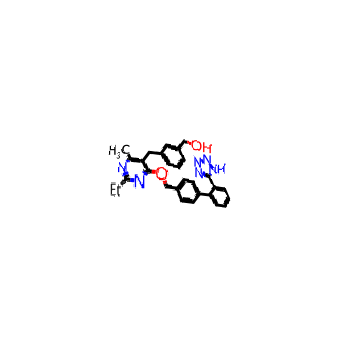 CCc1nc(C)c(Cc2cccc(CO)c2)c(OCc2ccc(-c3ccccc3-c3nnn[nH]3)cc2)n1